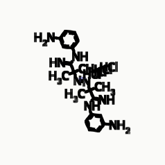 CC(C)(/N=N/C(C)(C)C(=N)Nc1cccc(N)c1)C(=N)Nc1cccc(N)c1.Cl.Cl.Cl.Cl